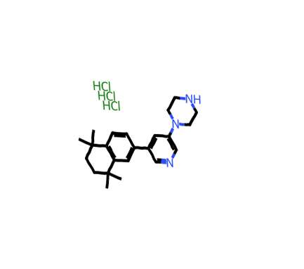 CC1(C)CCC(C)(C)c2cc(-c3cncc(N4CCNCC4)c3)ccc21.Cl.Cl.Cl